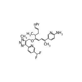 CCC/C=C/CC(C)/C(=C\C=C(/C)c1ccc(N)nc1)OCc1c(-c2ccc(C(F)F)cn2)nnn1C